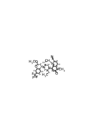 CC[C@H]1CN(C(CC(=O)OC)c2ccc(C(F)(F)F)cc2)[C@H](CC)CN1c1nc(=O)n(C)c2ccc(C#N)nc12